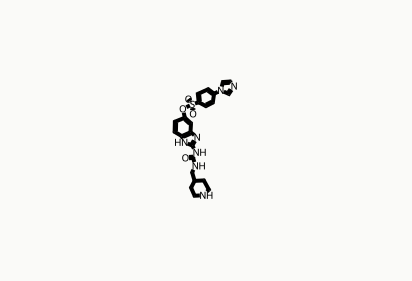 O=C(NCC1CCNCC1)Nc1nc2cc(OS(=O)(=O)c3ccc(-n4ccnc4)cc3)ccc2[nH]1